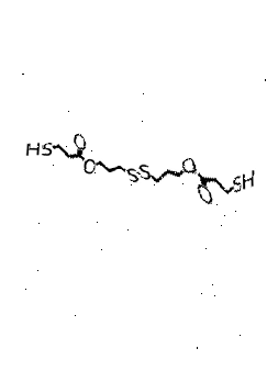 O=C(CCS)OCCCSSCCCOC(=O)CCS